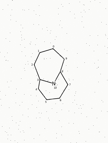 C1CCC2CCCCC(C1)[N]2